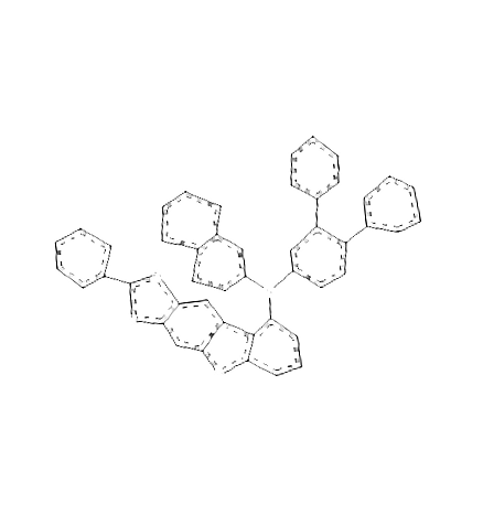 c1ccc(-c2nc3cc4c(cc3s2)oc2cccc(N(c3ccc(-c5ccccc5)c(-c5ccccc5)c3)c3ccc5ccccc5c3)c24)cc1